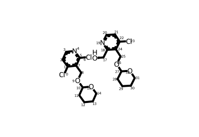 Clc1ccnc(Cl)c1COC1CCCCO1.OCc1nccc(Cl)c1COC1CCCCO1